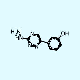 NNc1ncc(-c2cccc(O)c2)nn1